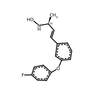 C[C@@H](C=Cc1cccc(Oc2ccc(F)cc2)c1)NO